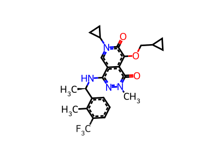 Cc1c([C@@H](C)Nc2nn(C)c(=O)c3c(OCC4CC4)c(=O)n(C4CC4)cc23)cccc1C(F)(F)F